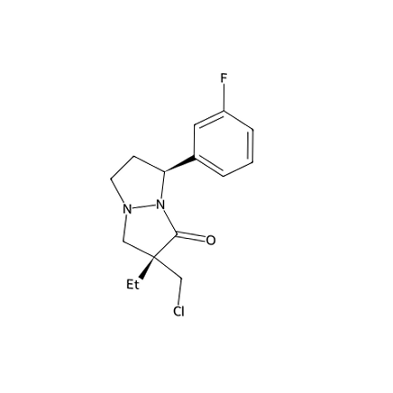 CC[C@@]1(CCl)CN2CC[C@@H](c3cccc(F)c3)N2C1=O